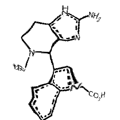 CC(C)(C)N1CCc2[nH]c(N)nc2C1c1cn(C(=O)O)c2ccccc12